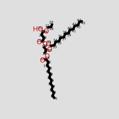 CCCCCCCCCCCCCC(=O)OCC(COC(=O)CCC(O)OCCC)OC(=O)CCCCCCCCCCCCC